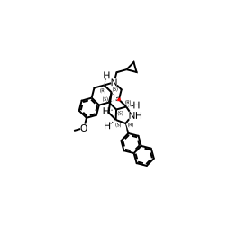 COc1ccc2c(c1)[C@@]13CCN(CC4CC4)[C@H](C2)[C@]12CC[C@H]1N[C@@H](c4ccc5ccccc5c4)[C@@H](C2)[C@H]13